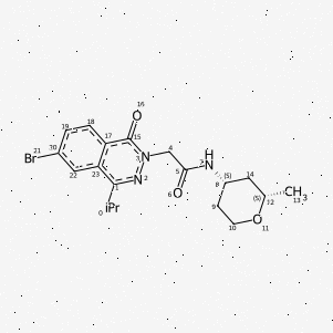 CC(C)c1nn(CC(=O)N[C@H]2CCO[C@@H](C)C2)c(=O)c2ccc(Br)cc12